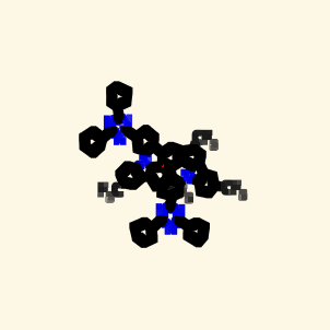 FC(F)(F)c1ccc2c(c1)c1cc(C(F)(F)F)ccc1n2-c1cc(-c2nc(-c3ccccc3)nc(-c3ccccc3)n2)ccc1-c1cccc(-c2ccc(-c3nc(-c4ccccc4)nc(-c4ccccc4)n3)cc2-n2c3ccc(C(F)(F)F)cc3c3cc(C(F)(F)F)ccc32)c1